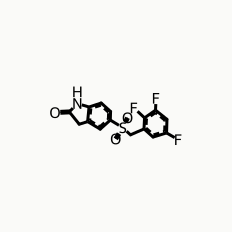 O=C1Cc2cc(S(=O)(=O)Cc3cc(F)cc(F)c3F)ccc2N1